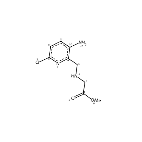 COC(=O)CNCc1nc(Cl)ccc1N